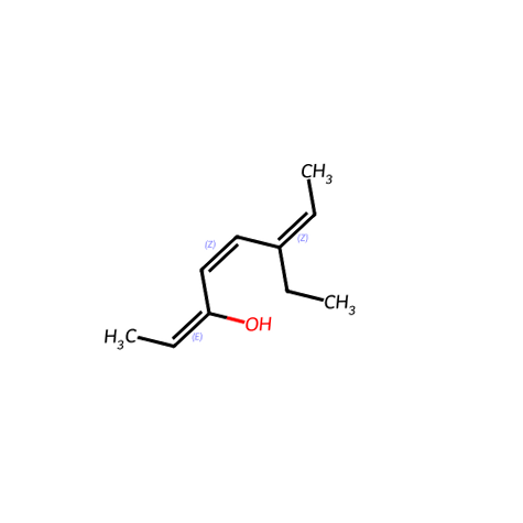 C\C=C(/C=C\C(O)=C/C)CC